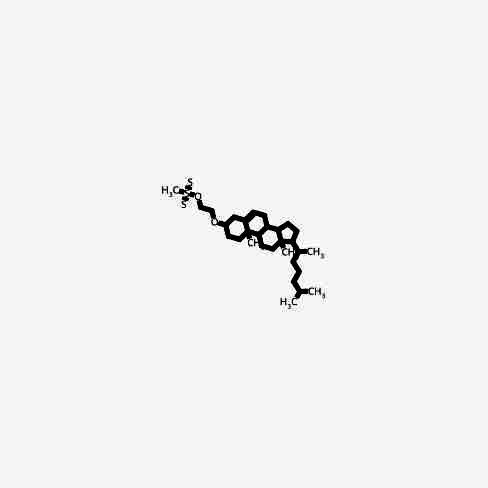 CC(C)CCCC(C)C1CCC2C3CC=C4CC(OCCOS(C)(=S)=S)CCC4(C)C3CCC12C